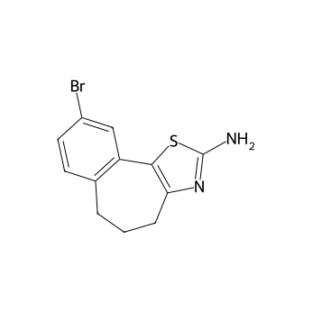 Nc1nc2c(s1)-c1cc(Br)ccc1CCC2